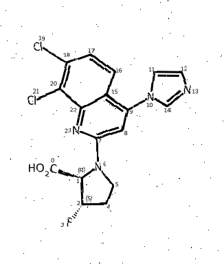 O=C(O)[C@@H]1[C@@H](F)CCN1c1cc(-n2ccnc2)c2ccc(Cl)c(Cl)c2n1